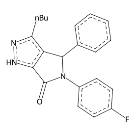 CCCCc1n[nH]c2c1C(c1ccccc1)N(c1ccc(F)cc1)C2=O